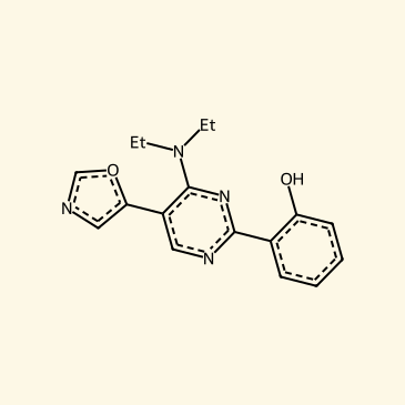 CCN(CC)c1nc(-c2ccccc2O)ncc1-c1cnco1